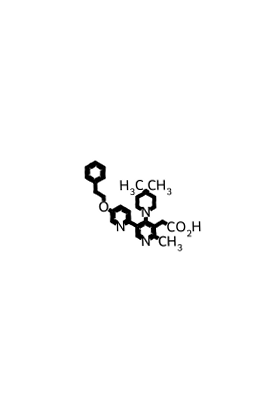 Cc1ncc(-c2ccc(OCCc3ccccc3)cn2)c(N2CCC(C)(C)CC2)c1CC(=O)O